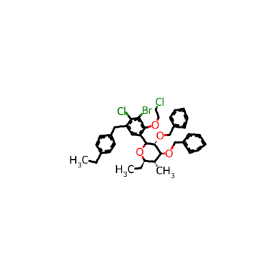 CCc1ccc(Cc2cc(C3O[C@H](CC)[C@@H](C)[C@H](OCc4ccccc4)[C@H]3OCc3ccccc3)c(OCCCl)c(Br)c2Cl)cc1